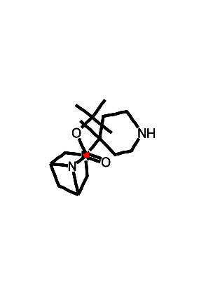 CC(C)(C)OC(=O)N1C2CC1CN(C1(C)CCNCC1)C2